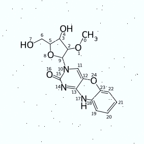 COC1C(O)C(CO)OC1n1cc2c(nc1=O)Nc1ccccc1O2